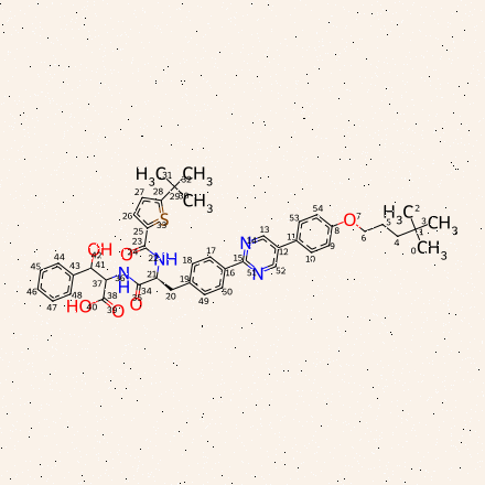 CC(C)(C)CCCOc1ccc(-c2cnc(-c3ccc(C[C@H](NC(=O)c4ccc(C(C)(C)C)s4)C(=O)NC(C(=O)O)C(O)c4ccccc4)cc3)nc2)cc1